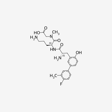 Cc1cc(-c2ccc(O)c(C[C@H](N)C(=O)N[C@@H](CCCN)C(=O)N(C)CC(=O)O)c2)ccc1F